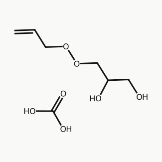 C=CCOOCC(O)CO.O=C(O)O